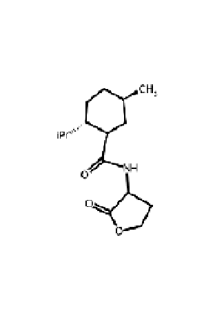 CC(C)[C@@H]1CC[C@@H](C)C[C@H]1C(=O)NC1CCOC1=O